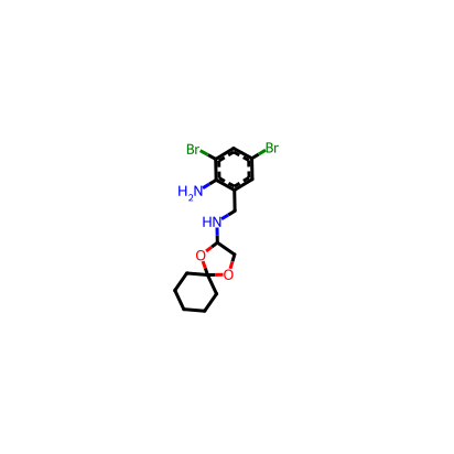 Nc1c(Br)cc(Br)cc1CNC1COC2(CCCCC2)O1